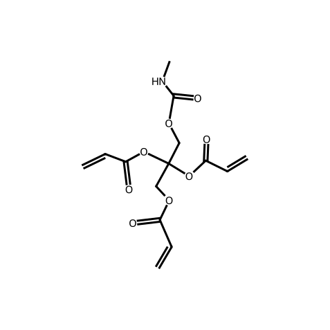 C=CC(=O)OCC(COC(=O)NC)(OC(=O)C=C)OC(=O)C=C